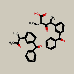 CC(=O)C(C)c1cccc(C(=O)c2ccccc2)c1.CC[C@H](C(=O)O)C(=O)C(C)c1cccc(C(=O)c2ccccc2)c1